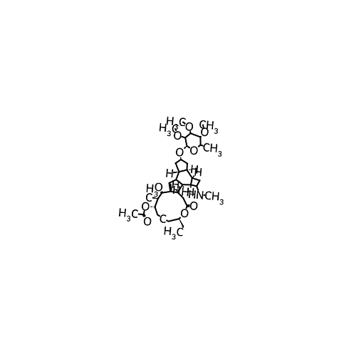 CC[C@H]1CCC[C@H](OC(C)=O)[C@@H](C)C(=O)C2=C[C@H]3[C@@H]4C[C@H](O[C@@H]5OC(C)[C@H](OC)C(OC)C5OC)C[C@H]4[C@@H]4CC(NC)[C@@H]4[C@H]3[C@@H]2CC(=O)O1